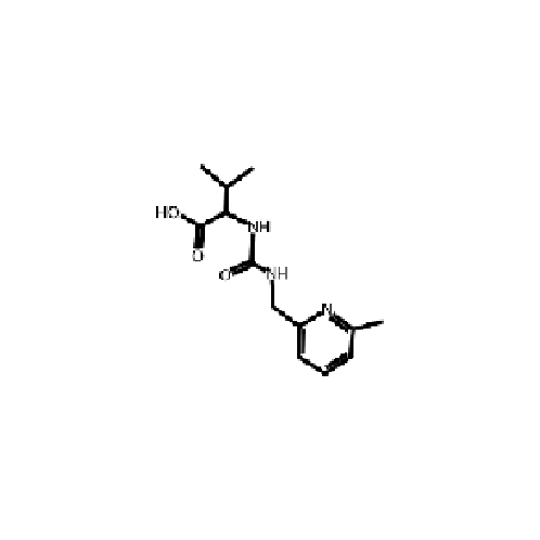 Cc1cccc(CNC(=O)NC(C(=O)O)C(C)C)n1